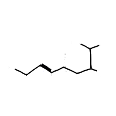 CC(O)C(C)C[C@@H](O)/C=C/CO